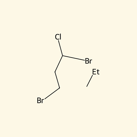 CCC.ClC(Br)CCBr